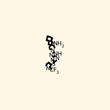 N[C@@H]1c2ccccc2CC12CCN(c1nc3nc(Sc4cccnc4C(F)(F)F)cnc3[nH]1)CC2